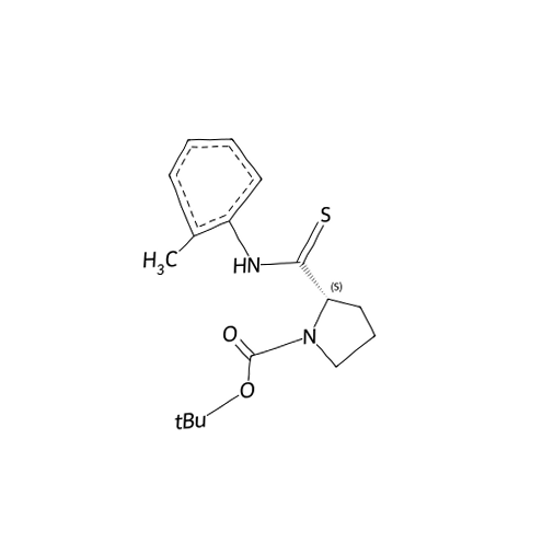 Cc1ccccc1NC(=S)[C@@H]1CCCN1C(=O)OC(C)(C)C